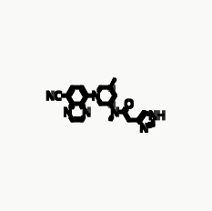 C[C@H]1C[C@@H](N(C)C(=O)Cc2c[nH]cn2)CN(c2ccc(C#N)c3nccnc23)C1